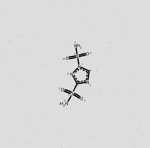 NS(=O)(=O)c1ncn(S(N)(=O)=O)n1